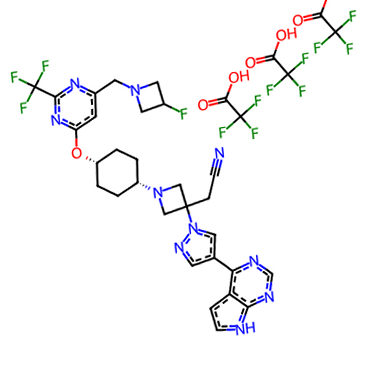 N#CCC1(n2cc(-c3ncnc4[nH]ccc34)cn2)CN([C@H]2CC[C@@H](Oc3cc(CN4CC(F)C4)nc(C(F)(F)F)n3)CC2)C1.O=C(O)C(F)(F)F.O=C(O)C(F)(F)F.O=C(O)C(F)(F)F